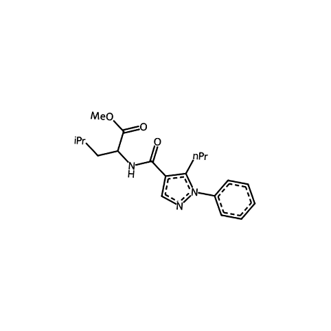 CCCc1c(C(=O)NC(CC(C)C)C(=O)OC)cnn1-c1ccccc1